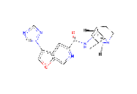 C[C@H]1[C@H](NC(=O)c2cc3c(-n4cncn4)coc3cn2)C2CCN1CC2